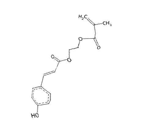 C=C(C)C(=O)OCCOC(=O)C=Cc1ccc(O)cc1